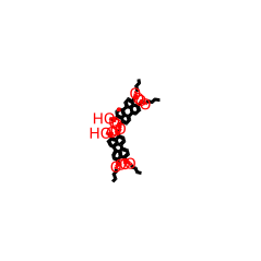 CCCCOC(=O)c1ccc2c3ccc(C(=O)O)c4c(C(=O)OC(=O)c5ccc6c7ccc(C(=O)OCCCC)c8c(C(=O)OCCCC)ccc(c9ccc(C(=O)O)c5c96)c87)ccc(c5ccc(C(=O)OCCCC)c1c25)c43